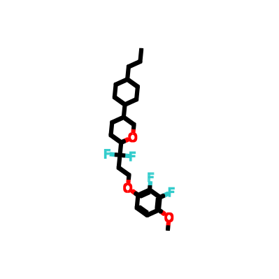 CCCC1CCC(C2CCC(C(F)(F)CCOc3ccc(OC)c(F)c3F)OC2)CC1